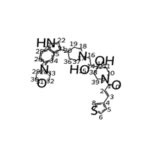 O=C(C=Cc1ccsc1)N1CCC(O)(C(O)CN2CCC(c3c[nH]c4ccc(N5CCOCC5)cc34)CC2)CC1